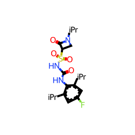 CC(C)c1cc(F)cc(C(C)C)c1NC(=O)NS(=O)(=O)C1CN(C(C)C)C1=O